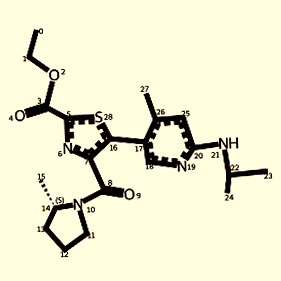 CCOC(=O)c1nc(C(=O)N2CCC[C@@H]2C)c(-c2cnc(NC(C)C)cc2C)s1